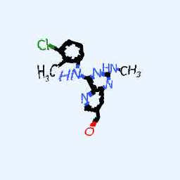 CNc1nc(Nc2cccc(Cl)c2C)c2ncc(C=O)cc2n1